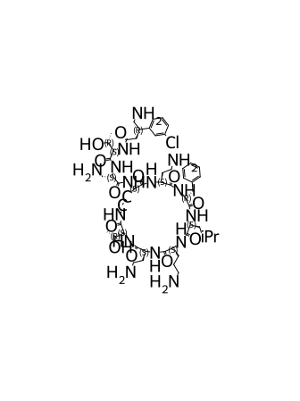 CC(C)C[C@@H]1NC(=O)[C@@H](Cc2ccccc2)NC(=O)[C@H](CCN)NC(=O)[C@@H](NC(=O)[C@H](CN)NC(=O)[C@@H](NC(=O)C[C@@H](CN)c2cccc(Cl)c2)[C@@H](C)O)CCNC(=O)[C@H]([C@@H](C)O)NC(=O)[C@H](CCN)NC(=O)[C@H](CCCN)NC1=O